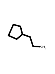 [SiH3]CCC1CCCC1